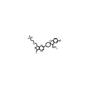 C[Si](C)(C)CCOCn1nc(I)c2ncc(N3CCC4(CC3)Oc3ccc(F)cc3[C@H]4N)nc21